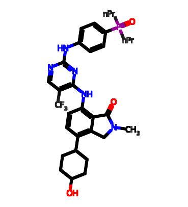 CCCP(=O)(CCC)c1ccc(Nc2ncc(C(F)(F)F)c(Nc3ccc(C4CCC(O)CC4)c4c3C(=O)N(C)C4)n2)cc1